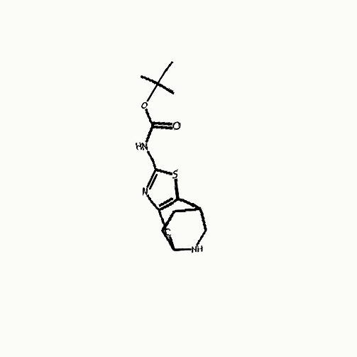 CC(C)(C)OC(=O)Nc1nc2c(s1)C1CCC(C2)NC1